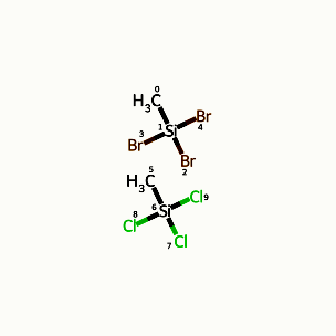 C[Si](Br)(Br)Br.C[Si](Cl)(Cl)Cl